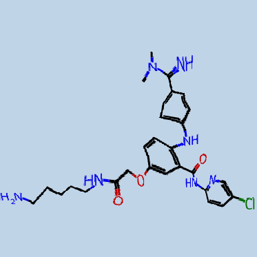 CN(C)C(=N)c1ccc(Nc2ccc(OCC(=O)NCCCCCN)cc2C(=O)Nc2ccc(Cl)cn2)cc1